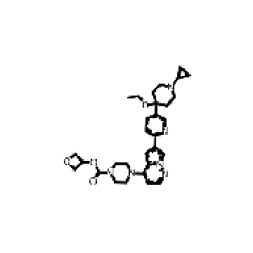 CCOC1(c2ccc(-c3cc4c(N5CCN(C(=O)OC6COC6)CC5)ccnn4c3)nc2)CCN(C2CC2)CC1